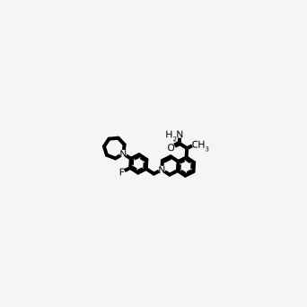 CC(C(N)=O)c1cccc2c1C=CN(Cc1ccc(N3CCCCCC3)c(F)c1)C2